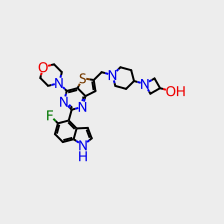 OC1CN(C2CCN(Cc3cc4nc(-c5c(F)ccc6[nH]ccc56)nc(N5CCOCC5)c4s3)CC2)C1